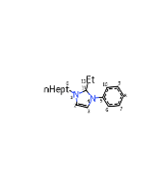 CCCCCCCN1C=CN(c2ccccc2)C1CC